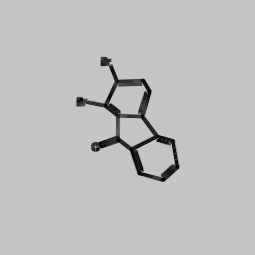 O=C1c2ccccc2-c2ccc(Br)c(Br)c21